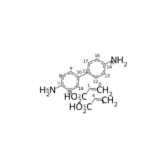 C=CC(=O)O.C=CC(=O)O.Nc1ccc(-c2ccc(N)cc2)cc1